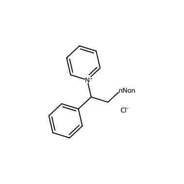 CCCCCCCCCCC(c1ccccc1)[n+]1ccccc1.[Cl-]